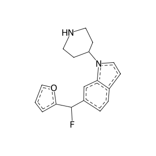 FC(c1ccc2ccn(C3CCNCC3)c2c1)c1ccco1